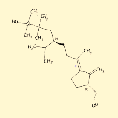 C=C1/C(=C(\C)CC[C@H](CC(C)(C)[Si](C)(C)O)C(C)C)CC[C@H]1CO